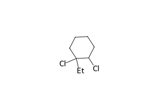 CCC1(Cl)CCCCC1Cl